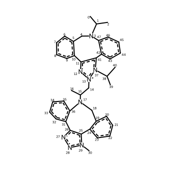 CC(C)N1Cc2ccccc2-c2n[n+](CC(C)N3Cc4ccccc4-c4c(nnn4C)-c4ccccc43)n(C(C)C)c2-c2ccccc21